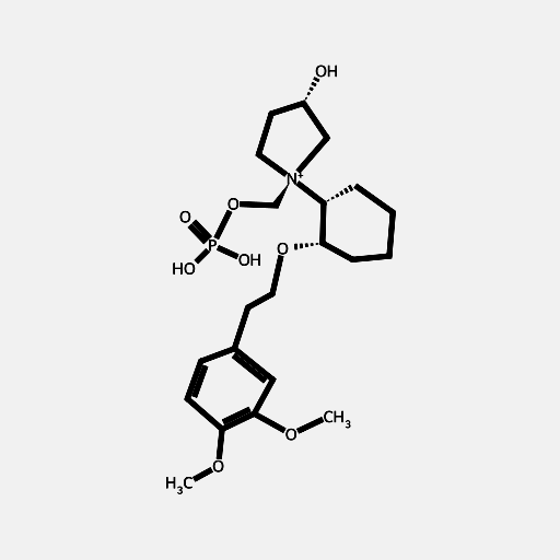 COc1ccc(CCO[C@H]2CCCC[C@H]2[N@+]2(COP(=O)(O)O)CC[C@H](O)C2)cc1OC